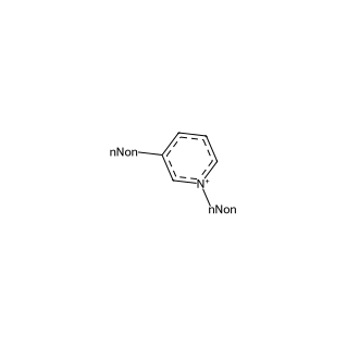 CCCCCCCCCc1ccc[n+](CCCCCCCCC)c1